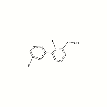 OCc1cccc(-c2cccc(F)c2)c1F